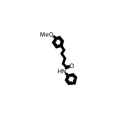 COc1ccc(CCCCC(=O)Nc2ccccc2)cc1